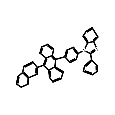 C1=Cc2ccc(-c3c4ccccc4c(-c4ccc(-n5c(-c6ccccc6)nc6ccccc65)cc4)c4ccccc34)cc2CC1